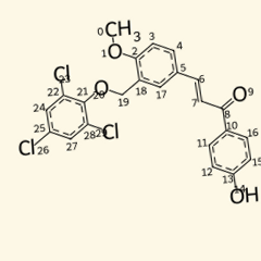 COc1ccc(/C=C/C(=O)c2ccc(O)cc2)cc1COc1c(Cl)cc(Cl)cc1Cl